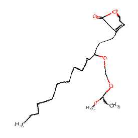 CCCCCCCCCCC(CCC1=CCOC1=O)OCOC(C)OC